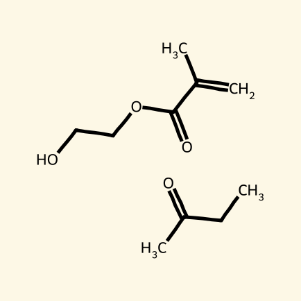 C=C(C)C(=O)OCCO.CCC(C)=O